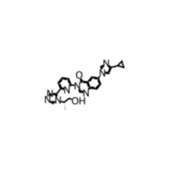 C[C@@H](CO)n1cnnc1-c1cccc(-n2cnc3ccc(-n4cnc(C5CC5)c4)cc3c2=O)n1